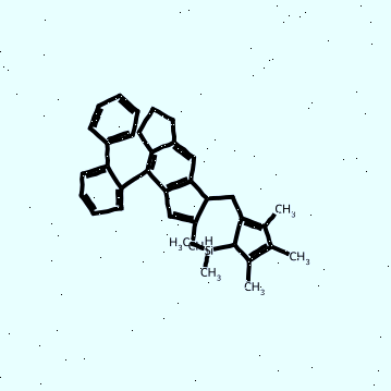 CC1=Cc2c(cc3c(c2-c2ccccc2-c2ccccc2)CCC3)C1CC1=C(C)C(C)=C(C)C1[SiH](C)C